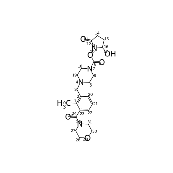 Cc1c(CN2CCN(C(=O)ON3C(=O)CCC3O)CC2)cccc1C(=O)N1CCOCC1